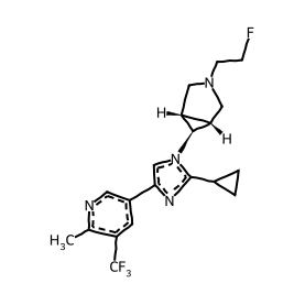 Cc1ncc(-c2cn([C@H]3[C@@H]4CN(CCF)C[C@@H]43)c(C3CC3)n2)cc1C(F)(F)F